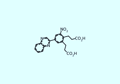 O=C(O)CCc1cc(-c2cnc3ccccc3n2)cc([N+](=O)[O-])c1CCC(=O)O